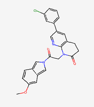 COc1ccc2cn(C(=O)CN3C(=O)CCc4cc(-c5cccc(Cl)c5)cnc43)cc2c1